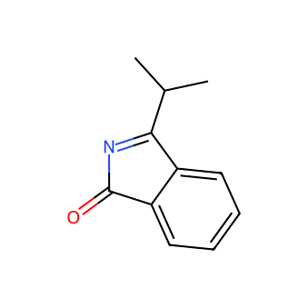 CC(C)C1=NC(=O)c2ccccc21